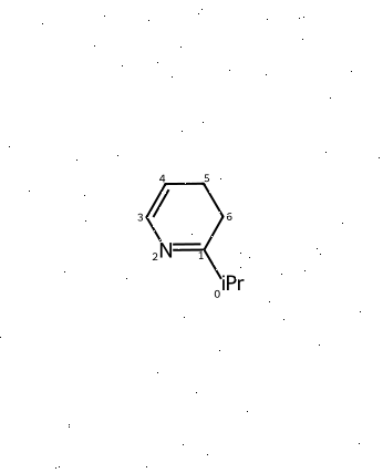 CC(C)C1=NC=CCC1